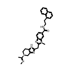 CN=C(C)N1CCc2[nH]c(Cc3nc4ccc(C(=O)NCCc5cccc6ccccc56)cc4n3C)nc2C1